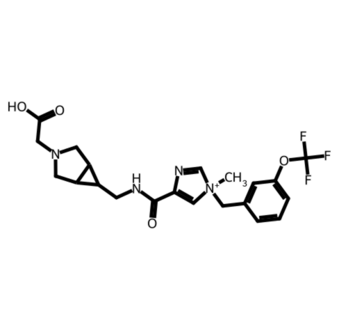 C[N+]1(Cc2cccc(OC(F)(F)F)c2)C=NC(C(=O)NCC2C3CN(CC(=O)O)CC23)=C1